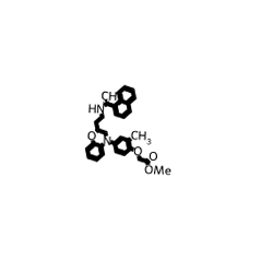 COC(=O)COc1ccc(N2CC(CCN[C@H](C)c3cccc4ccccc34)Oc3ccccc32)cc1C